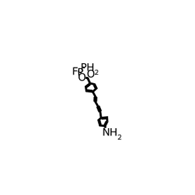 Nc1ccc(C#CC#Cc2ccc(C(=O)OP(F)P)cc2)cc1